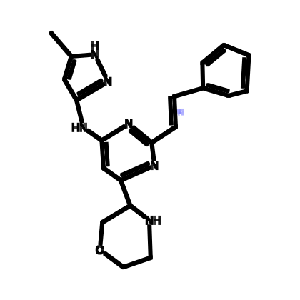 Cc1cc(Nc2cc(C3COCCN3)nc(/C=C/c3ccccc3)n2)n[nH]1